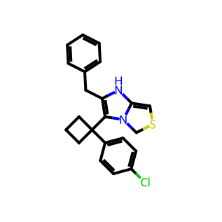 Clc1ccc(C2(C3=C(Cc4ccccc4)NC4=CSCN43)CCC2)cc1